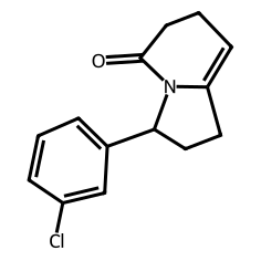 O=C1CCC=C2CCC(c3cccc(Cl)c3)N12